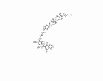 CC(C)(C)c1cc(C(C)(C)C)c(OCCOCCOc2ccc(C3CCN(S(=O)(=O)c4ccc(C(=O)NCC(=O)O)cc4)CC3)cc2)cc1NC(=O)c1c[nH]c2ccccc2c1=O